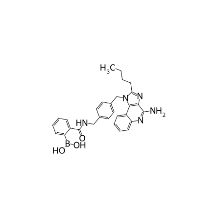 CCCCc1nc2c(N)nc3ccccc3c2n1Cc1ccc(CNC(=O)c2ccccc2B(O)O)cc1